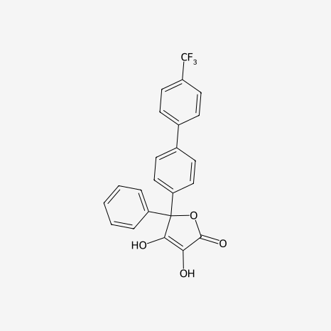 O=C1OC(c2ccccc2)(c2ccc(-c3ccc(C(F)(F)F)cc3)cc2)C(O)=C1O